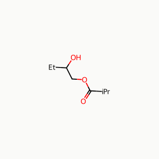 CCC(O)COC(=O)C(C)C